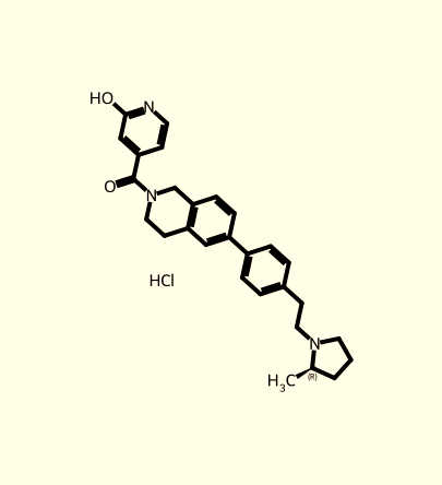 C[C@@H]1CCCN1CCc1ccc(-c2ccc3c(c2)CCN(C(=O)c2ccnc(O)c2)C3)cc1.Cl